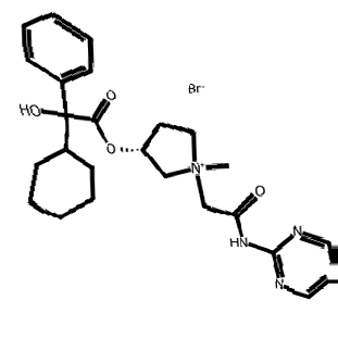 C[N+]1(CC(=O)Nc2ncncn2)CC[C@@H](OC(=O)C(O)(c2ccccc2)C2CCCCC2)C1.[Br-]